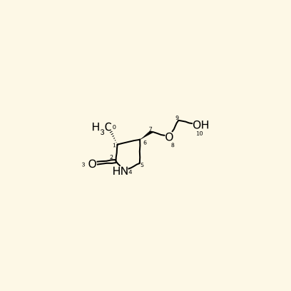 C[C@H]1C(=O)NC[C@@H]1COCO